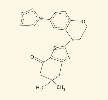 CC1(C)CC(=O)c2sc(N3CCOc4ccc(-n5ccnc5)cc43)nc2C1